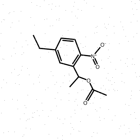 CCc1ccc([N+](=O)[O-])c(C(C)OC(C)=O)c1